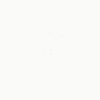 COCCOc1ccc(CCC2C(O)C3CCN2CC3)cc1